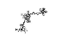 C[C@H](NC(=O)CCOCCOCCN1C(=O)C(Br)=C(Br)C1=O)C(=O)N[C@@H](CCCCNC(=O)OC(C)(C)C)C(=O)O